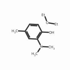 CCOCC.Cc1ccc(O)c(N(C)C)c1